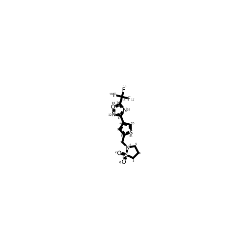 O=S1(=O)CCCN1Cc1cc(-c2noc(C(F)(F)F)n2)cs1